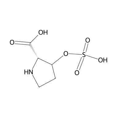 O=C(O)[C@H]1NCCC1OS(=O)(=O)O